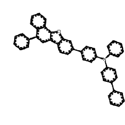 c1ccc(-c2ccc(N(c3ccccc3)c3ccc(-c4ccc5c(c4)oc4c6ccccc6c(-c6ccccc6)cc54)cc3)cc2)cc1